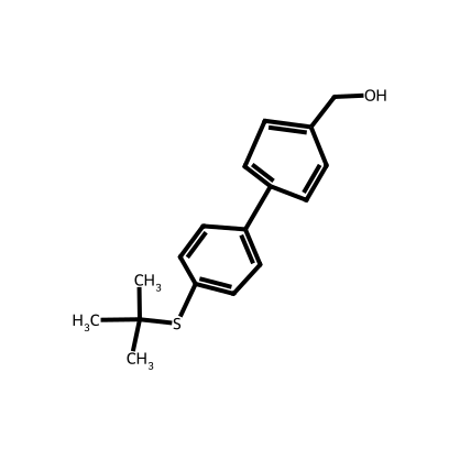 CC(C)(C)Sc1ccc(-c2ccc(CO)cc2)cc1